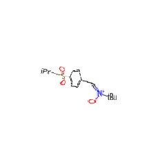 CC(C)S(=O)(=O)c1ccc(C=[N+]([O-])C(C)(C)C)cc1